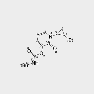 CCC1CC1n1cccc(OC(=O)NC(C)(C)C)c1=O